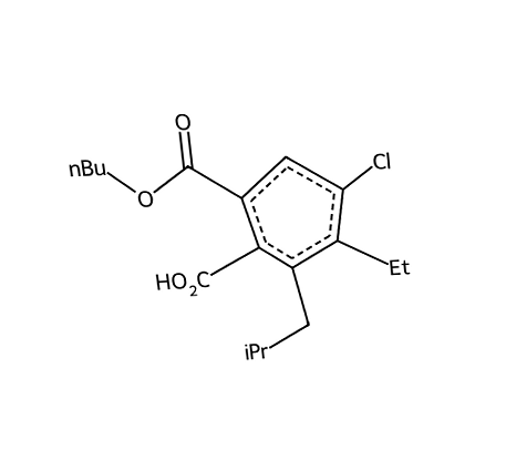 CCCCOC(=O)c1cc(Cl)c(CC)c(CC(C)C)c1C(=O)O